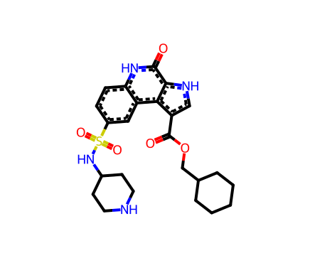 O=C(OCC1CCCCC1)c1c[nH]c2c(=O)[nH]c3ccc(S(=O)(=O)NC4CCNCC4)cc3c12